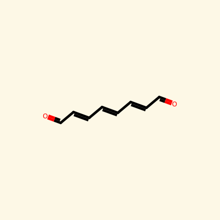 O=CC=CC=CC=CC=O